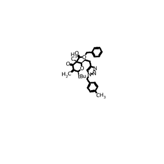 C=C1C(=O)[C@](C)(C(=O)OCc2ccccc2)[C@@H](CCc2cn(Cc3ccc(C)cc3)nn2)O[C@H]1C(C)(C)C